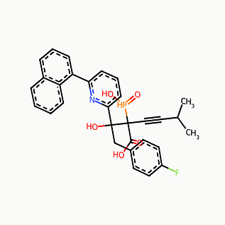 CC(C)C#CC(C(=O)O)([PH](=O)O)C(O)(Cc1ccc(F)cc1)c1cccc(-c2cccc3ccccc23)n1